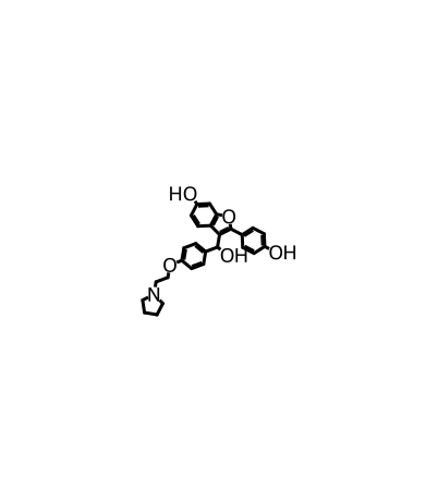 Oc1ccc(-c2oc3cc(O)ccc3c2C(O)c2ccc(OCCN3CCCC3)cc2)cc1